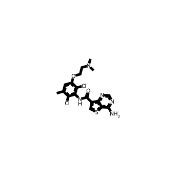 Cc1cc(OCCN(C)C)c(Cl)c(NC(=O)c2csc3c(N)ncnc23)c1Cl